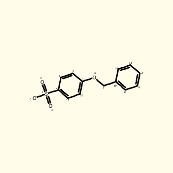 [O]S(=O)(=O)c1ccc(OCc2ccccc2)cc1